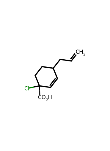 C=CCC1C=CC(Cl)(C(=O)O)CC1